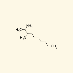 CCCCCCCC(N)C(C)N